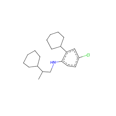 CC(CNc1ccc(Cl)cc1C1CCCCC1)C1CCCCC1